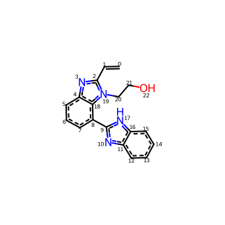 C=Cc1nc2cccc(-c3nc4ccccc4[nH]3)c2n1CCO